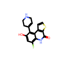 O=c1[nH]c2c(F)cc(O)c(C3=CCNCC3)c2c2ccsc12